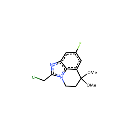 COC1(OC)CCn2c(CCl)nc3cc(F)cc1c32